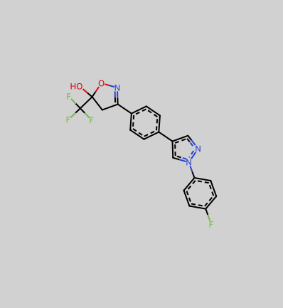 OC1(C(F)(F)F)CC(c2ccc(-c3cnn(-c4ccc(F)cc4)c3)cc2)=NO1